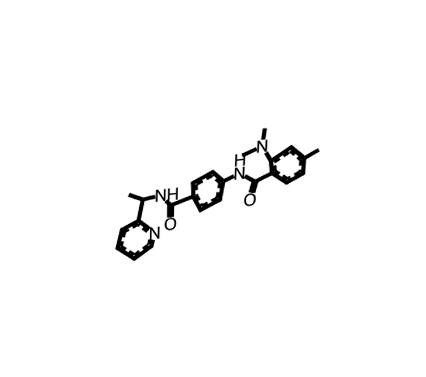 Cc1ccc(C(=O)Nc2ccc(C(=O)NC(C)c3ccccn3)cc2)c(N(C)C)c1